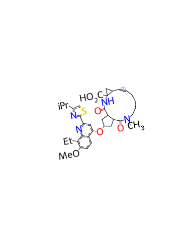 CCc1c(OC)ccc2c(OC3CC4C(=O)NC5(C(=O)O)CC5/C=C\CCCCN(C)C(=O)C4C3)cc(-c3nc(C(C)C)cs3)nc12